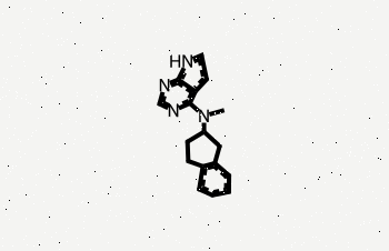 CN(c1ncnc2[nH]ccc12)C1CCc2ccccc2C1